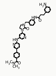 CN(C)C(=O)c1ccc(-c2ccc(Nc3cncc(N4CCN(Cc5cccc(NC(=O)CCc6cccc(N)c6)c5)C4=O)c3)nc2)cc1